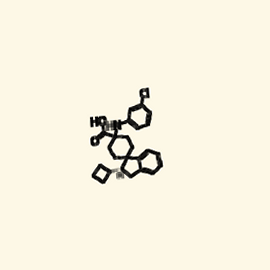 O=C(O)C1(Nc2cccc(Cl)c2)CCC2(CC1)c1ccccc1C[C@@H]2C1CCC1